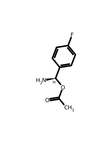 CC(=O)O[C@@H](N)c1ccc(F)cc1